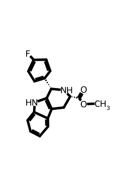 COC(=O)[C@@H]1Cc2c([nH]c3ccccc23)[C@H](c2ccc(F)cc2)N1